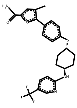 Cc1cc(C(N)=O)sc1-c1ccc(S[C@H]2CC[C@H](Nc3ccc(C(F)(F)F)cn3)CC2)cc1